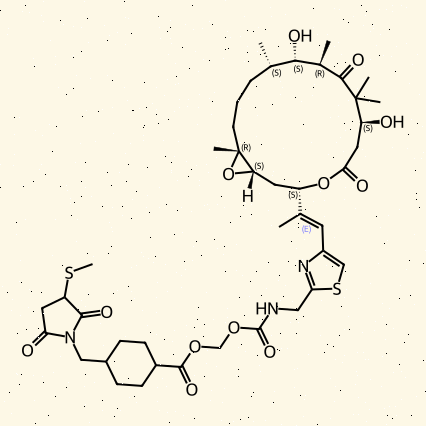 CSC1CC(=O)N(CC2CCC(C(=O)OCOC(=O)NCc3nc(/C=C(\C)[C@@H]4C[C@@H]5O[C@]5(C)CCC[C@H](C)[C@H](O)[C@@H](C)C(=O)C(C)(C)[C@@H](O)CC(=O)O4)cs3)CC2)C1=O